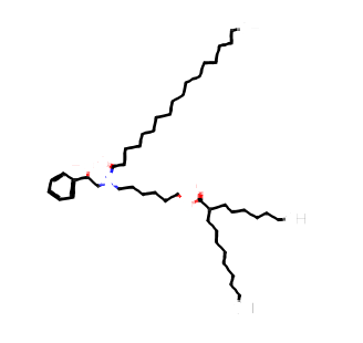 CCCCCCCCCCCCCCCCCC(=O)N(CCCCCCOC(=O)C(CCCCCCC)CCCCCCCCC)CC(O)c1ccccc1